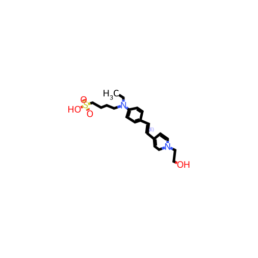 CCN(CCCCS(=O)(=O)O)c1ccc(/C=C/C2=CCN(CCO)C=C2)cc1